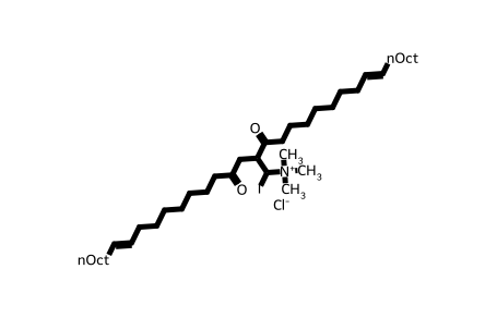 CCCCCCCCC=CCCCCCCCC(=O)CC(C(=O)CCCCCCCC=CCCCCCCCC)C(I)[N+](C)(C)C.[Cl-]